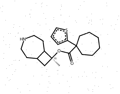 C[C@]1(OC(=O)C2(c3cccs3)CCCCCC2)CC2CCNCCC21